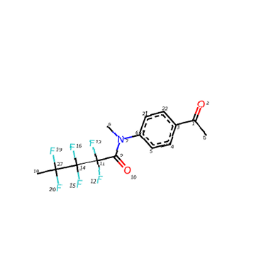 CC(=O)c1ccc(N(C)C(=O)C(F)(F)C(F)(F)C(C)(F)F)cc1